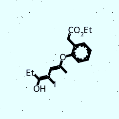 CCOC(=O)Cc1ccccc1O/C(C)=C/C(I)=C(/O)CC